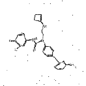 Nc1cccc(-c2ccc(N(CCNC3CCC3)C(=O)Nc3ccc(F)c(Cl)c3)cc2)c1